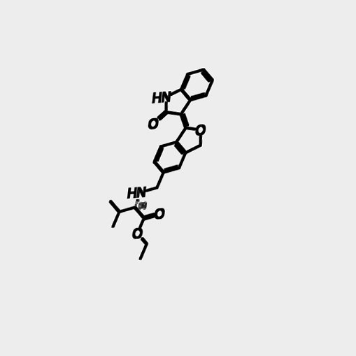 CCOC(=O)[C@@H](NCc1ccc2c(c1)COC2=C1C(=O)Nc2ccccc21)C(C)C